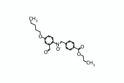 CCCCCOc1ccc([N+]([O-])=Cc2ccc(C(=O)OCCC)cc2)c(C=O)c1